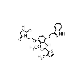 COc1c(OCCN2C(=O)CNC2=O)ccc(C=Cc2n[nH]c3ccccc23)c1NC(=O)c1sccc1C